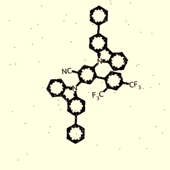 N#Cc1cc(-n2c3ccccc3c3cc(-c4ccccc4)ccc32)c(-c2ccc(C(F)(F)F)cc2C(F)(F)F)cc1-n1c2ccccc2c2cc(-c3ccccc3)ccc21